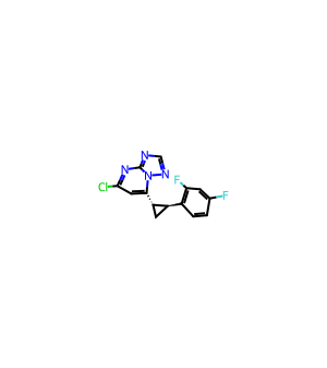 Fc1ccc([C@H]2C[C@@H]2c2cc(Cl)nc3ncnn23)c(F)c1